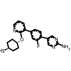 Nc1ncc(-c2ccc(-c3cccnc3O[C@H]3CC[C@H](S)CC3)cc2F)cn1